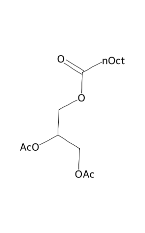 CCCCCCCCC(=O)OCC(COC(C)=O)OC(C)=O